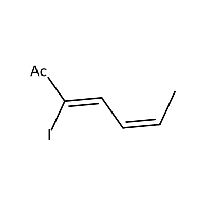 C/C=C\C=C(/I)C(C)=O